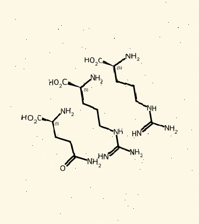 N=C(N)NCCC[C@H](N)C(=O)O.N=C(N)NCCC[C@H](N)C(=O)O.NC(=O)CC[C@H](N)C(=O)O